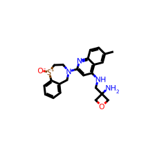 Cc1ccc2nc(N3CC[S+]([O-])c4ccccc4C3)cc(NCC3(N)COC3)c2c1